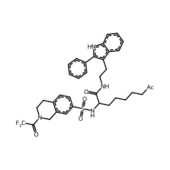 CC(=O)CCCCCC(NS(=O)(=O)c1ccc2c(c1)CN(C(=O)C(F)(F)F)CC2)C(=O)NCCc1c(-c2ccccc2)[nH]c2ccccc12